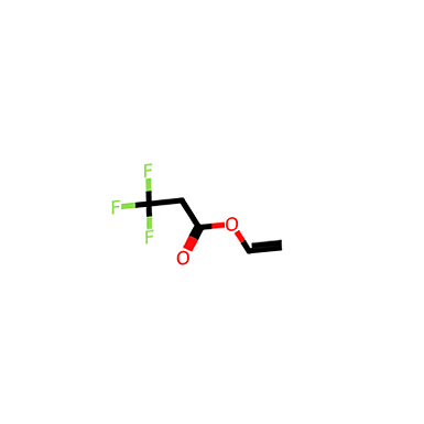 C=COC(=O)CC(F)(F)F